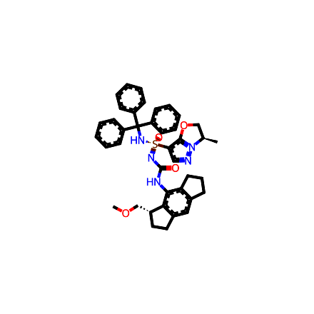 COC[C@H]1CCc2cc3c(c(NC(=O)N=[S@](=O)(NC(c4ccccc4)(c4ccccc4)c4ccccc4)c4cnn5c4OC[C@H]5C)c21)CCC3